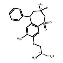 CCCC[C@]1(CC)CN(c2ccccc2)c2cc(SC)c(OC[C@@H](N)C(=O)O)cc2S(=O)(=O)C1